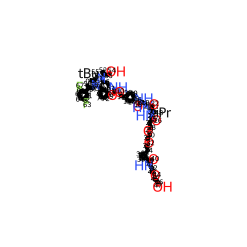 C=C([C@H](N(CCCNC(=O)OCc1ccc(NC(=O)CNC(=O)C(NC(=O)CCOCCOCCC2CCC2C(=O)NCCOCCO)C(C)C)cc1)C(=C)CO)C(C)(C)C)N(/C=C(\C)c1cc(F)ccc1F)Cc1ccccc1